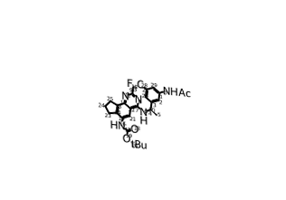 CC(=O)Nc1cc([C@@H](C)Nc2nc(C)nc3c4c(c(NC(=O)OC(C)(C)C)cc23)CCC4)cc(C(F)(F)F)c1